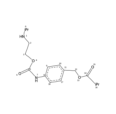 CC(C)NCCOC(=O)Nc1ccc(COC(=O)C(C)C)cc1